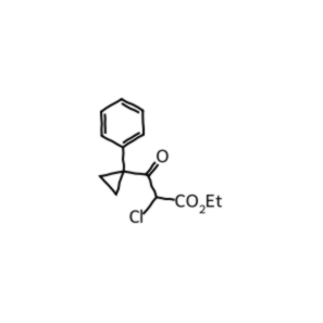 CCOC(=O)C(Cl)C(=O)C1(c2ccccc2)CC1